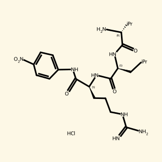 CC(C)C[C@H](NC(=O)[C@H](N)C(C)C)C(=O)N[C@@H](CCCNC(=N)N)C(=O)Nc1ccc([N+](=O)[O-])cc1.Cl